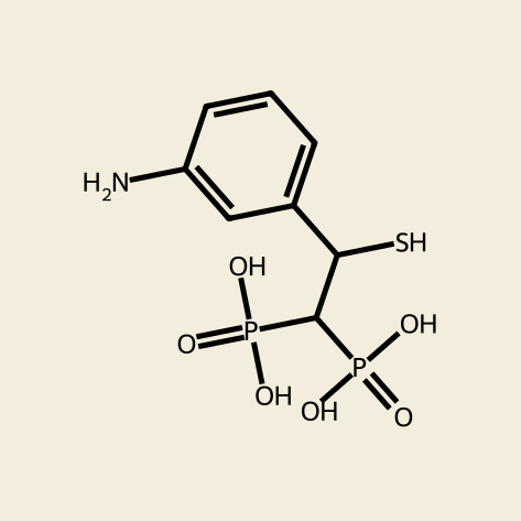 Nc1cccc(C(S)C(P(=O)(O)O)P(=O)(O)O)c1